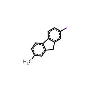 Cc1ccc2c(c1)Cc1cc(I)ccc1-2